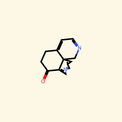 O=C1CCC2=CC=NCC23C=CC=NC=C13